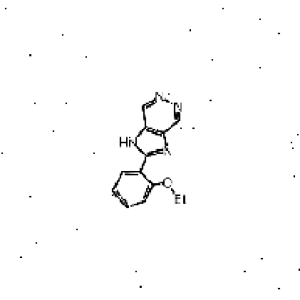 CCOc1ccccc1-c1nc2cnncc2[nH]1